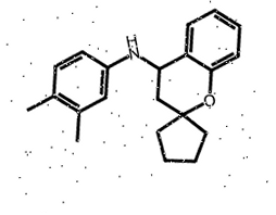 Cc1ccc(NC2CC3(CCCC3)Oc3ccccc32)cc1C